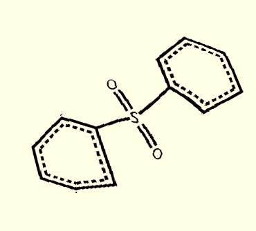 O=S(=O)(c1[c]cc[c]c1)c1ccccc1